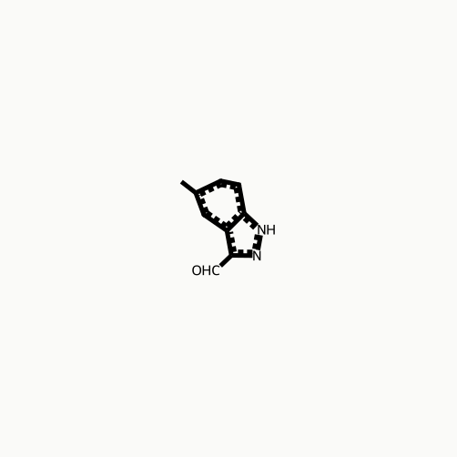 Cc1ccc2[nH]nc(C=O)c2c1